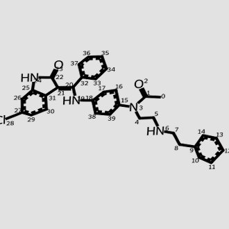 CC(=O)N(CCNCCc1ccccc1)c1ccc(NC(=C2C(=O)Nc3cc(Cl)ccc32)c2ccccc2)cc1